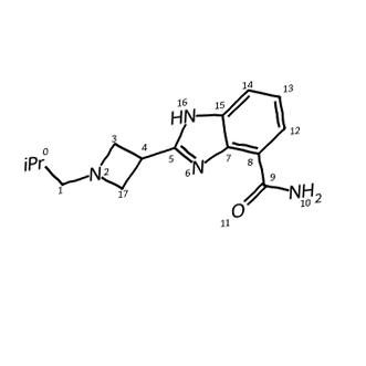 CC(C)CN1CC(c2nc3c(C(N)=O)cccc3[nH]2)C1